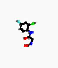 O=C(/C=N\O)Nc1ccc(F)cc1Cl